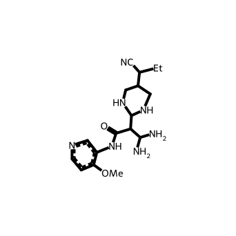 CCC(C#N)C1CNC(C(C(=O)Nc2cnccc2OC)C(N)N)NC1